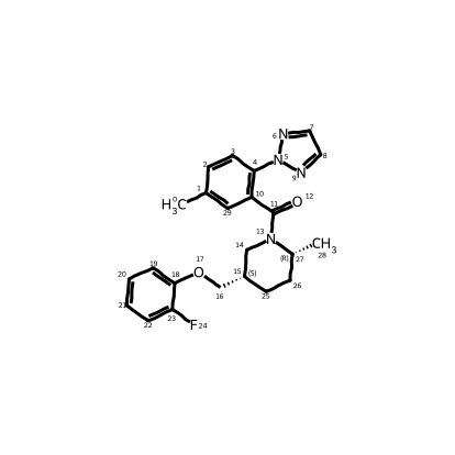 Cc1ccc(-n2nccn2)c(C(=O)N2C[C@@H](COc3ccccc3F)CC[C@H]2C)c1